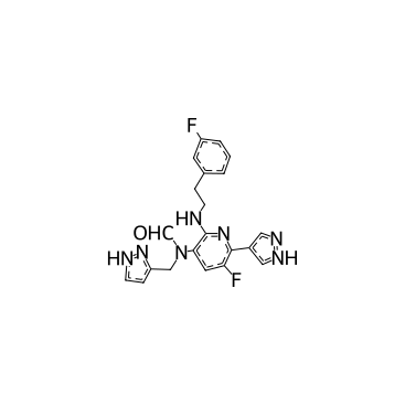 O=CN(Cc1cc[nH]n1)c1cc(F)c(-c2cn[nH]c2)nc1NCCc1cccc(F)c1